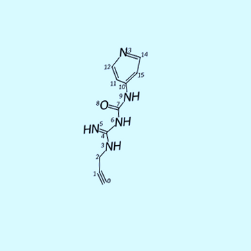 C#CCNC(=N)NC(=O)Nc1ccncc1